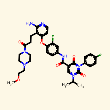 COCCN1CCN(C(=O)CCc2c(Oc3ccc(NC(=O)c4cn(C(C)C)c(=O)n(-c5ccc(F)cc5)c4=O)cc3F)ccnc2N)CC1